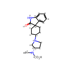 CCCN(C(=O)O)[C@H]1CCN(C2CCC3(CC2)C(=O)Nc2ccccc23)C1